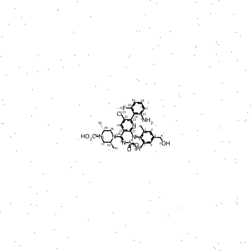 Cc1cc(CO)cc(C(C)C)c1N1c2nc(-c3c(N)cccc3F)c(Cl)cc2C(N2C[C@@H](C)N(C(=O)O)C[C@@H]2C)=NS1(=O)=O